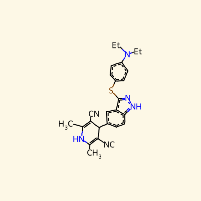 [C-]#[N+]C1=C(C)NC(C)=C(C#N)C1c1ccc2[nH]nc(Sc3ccc(N(CC)CC)cc3)c2c1